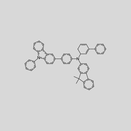 CC1(C)c2ccccc2-c2ccc(N(c3ccc(-c4ccc5c(c4)c4ccccc4n5-c4ccccc4)cc3)C3C=C(c4ccccc4)C=CC3)cc21